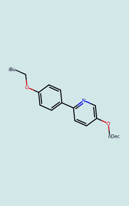 CCCCCCCCCCOc1ccc(-c2ccc(OCC(C)CC)cc2)nc1